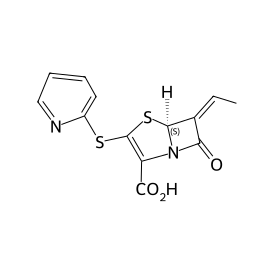 CC=C1C(=O)N2C(C(=O)O)=C(Sc3ccccn3)S[C@@H]12